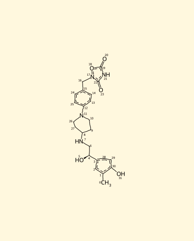 Cc1cc([C@@H](O)CNC2CCN(c3ccc(Cn4oc(=O)[nH]c4=O)cc3)CC2)ccc1O